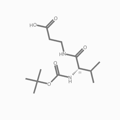 CC(C)[C@H](NC(=O)OC(C)(C)C)C(=O)NCCC(=O)O